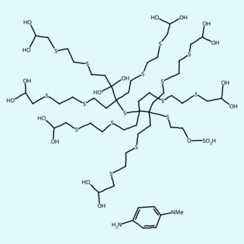 CNc1ccc(N)cc1.O=S(=O)(O)OCCSC(CCSCCSCC(O)O)(CCSCCSCC(O)O)C(CCSCCSCC(O)O)(CCSCCSCC(O)O)SC(CCSCCSCC(O)O)(CCSCCSCC(O)O)C(O)(O)CCSCCSCC(O)O